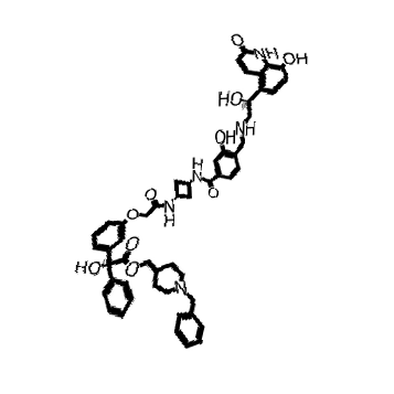 O=C(COc1cccc([C@](O)(C(=O)OCC2CCN(Cc3ccccc3)CC2)c2ccccc2)c1)N[C@H]1C[C@H](NC(=O)c2ccc(CNC[C@H](O)c3ccc(O)c4[nH]c(=O)ccc34)c(O)c2)C1